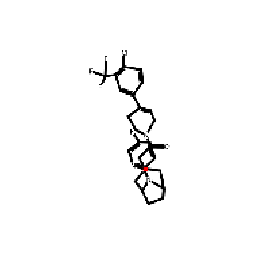 O=C(CN1CC2CCC(C1)N2c1ccc(F)cn1)N1CC=C(c2ccc(Cl)c(C(F)(F)F)c2)CC1